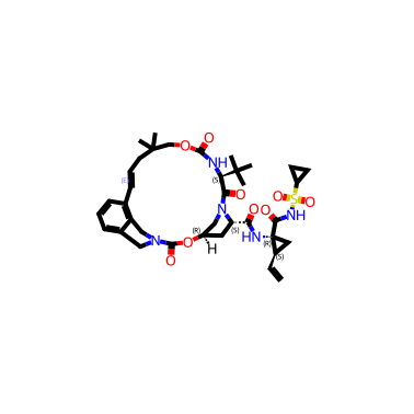 C=C[C@@H]1C[C@]1(NC(=O)[C@@H]1C[C@@H]2CN1C(=O)[C@H](C(C)(C)C)NC(=O)OCC(C)(C)C/C=C/c1cccc3c1CN(C3)C(=O)O2)C(=O)NS(=O)(=O)C1CC1